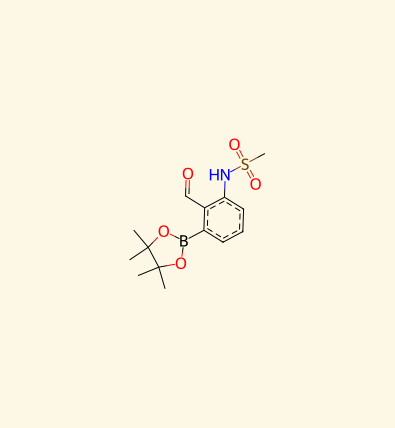 CC1(C)OB(c2cccc(NS(C)(=O)=O)c2C=O)OC1(C)C